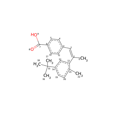 CC(=Cc1ccc(C(=O)O)cc1)c1cc(C(C)(C)C)ccc1C